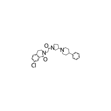 O=C(CN1CCc2ccc(Cl)cc2C1=O)N1CCC(N2CCC(c3ccccc3)CC2)C1